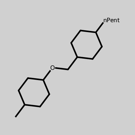 CCCCCC1CCC(COC2CCC(C)CC2)CC1